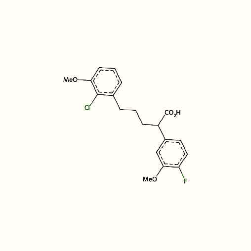 COc1cc(C(CCCc2cccc(OC)c2Cl)C(=O)O)ccc1F